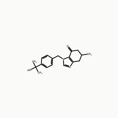 CC1CC(=O)c2c(ncn2Cc2ccc(C(C)(C)O)cc2)C1